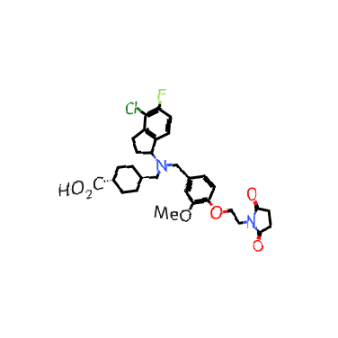 COc1cc(CN(C[C@H]2CC[C@H](C(=O)O)CC2)C2CCc3c2ccc(F)c3Cl)ccc1OCCN1C(=O)CCC1=O